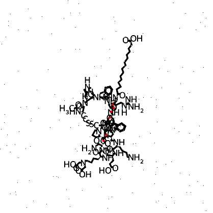 CC(=O)N[C@H]1CCSSC[C@@H](C(=O)N2CCC[C@H]2C(=O)N2CCC[C@H]2C(=O)N[C@@H](CCCCN)C(=O)N[C@@H](CCC(=O)O)C(=O)N[C@@H](CCCCN(CC(=O)O)CC(=O)O)C(=O)N[C@@H](CCCCNC(=O)COCCOCCNC(=O)CCCCCCCCCCCCCCC(=O)O)C(N)=O)NC(=O)[C@H](Cc2c[nH]c3ccccc23)NC(=O)[C@H](CCCNC(=N)N)NC(=O)[C@@H](Cc2ccccc2)NC(=O)[C@H](Cc2c[nH]cn2)NC1=O